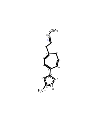 CO/N=C/CC1=CC=C(c2noc(C(F)(F)F)n2)C=CC1